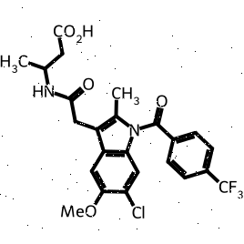 COc1cc2c(CC(=O)NC(C)CC(=O)O)c(C)n(C(=O)c3ccc(C(F)(F)F)cc3)c2cc1Cl